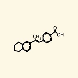 C/C(=C\c1ccc(C(=O)O)cc1)c1ccc2c(c1)CCCC2